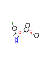 Fc1ccc(C2CCNCC2OCc2cc(OCc3ccccc3)c3ccccc3c2)cc1